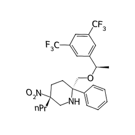 CCC[C@@]1([N+](=O)[O-])CC[C@@](CO[C@H](C)c2cc(C(F)(F)F)cc(C(F)(F)F)c2)(c2ccccc2)NC1